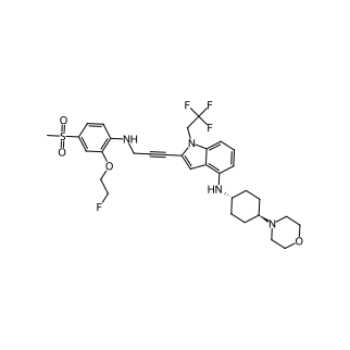 CS(=O)(=O)c1ccc(NCC#Cc2cc3c(N[C@H]4CC[C@H](N5CCOCC5)CC4)cccc3n2CC(F)(F)F)c(OCCF)c1